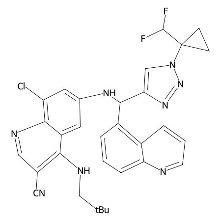 CC(C)(C)CNc1c(C#N)cnc2c(Cl)cc(NC(c3cn(C4(C(F)F)CC4)nn3)c3cccc4ncccc34)cc12